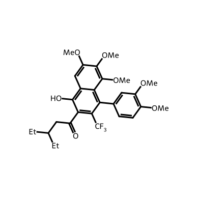 CCC(CC)CC(=O)c1c(C(F)(F)F)c(-c2ccc(OC)c(OC)c2)c2c(OC)c(OC)c(OC)cc2c1O